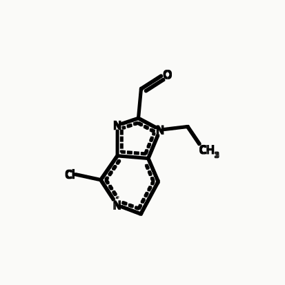 CCn1c(C=O)nc2c(Cl)nccc21